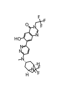 CN(c1ccc(-c2cc3ncn(CC(F)(F)F)c(=O)c3cc2O)nn1)[C@H]1C[C@@H]2CC(F)(F)[C@H](C1)N2C